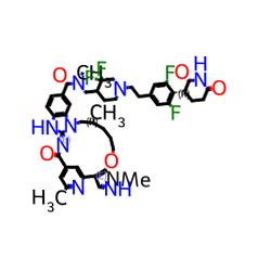 CN/C1=C(\C=N)c2cc(cc(C)n2)C(=O)/N=C2\Nc3ccc(C(=O)N(C)CC4CCN(CCc5cc(F)c([C@H]6CCC(=O)NC6=O)c(F)c5)CC4(F)F)cc3N2C[C@H](C)CCCO1